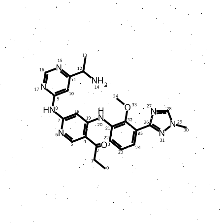 CCC(=O)c1cnc(Nc2cc(C(C)N)ncn2)cc1Nc1cccc(-c2ncn(C)n2)c1OC